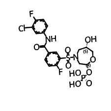 O=C(Nc1ccc(F)c(Cl)c1)c1ccc(F)c(S(=O)(=O)N2C[C@H](O)CO[C@H](OP(=O)(O)O)C2)c1